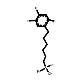 CC(C)[Si](O)(CCCCCCc1cc(F)c(F)cc1F)C(C)C